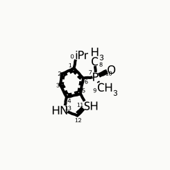 CC(C)c1ccc2c(c1P(C)(C)=O)[SH]=CN2